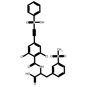 CS(=O)(=O)c1cccc(CC(NC(=O)c2c(Cl)cc(C#CP(=O)(O)c3ccccc3)cc2Cl)C(=O)O)c1